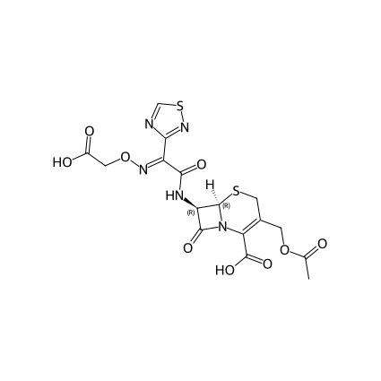 CC(=O)OCC1=C(C(=O)O)N2C(=O)[C@@H](NC(=O)C(=NOCC(=O)O)c3ncsn3)[C@H]2SC1